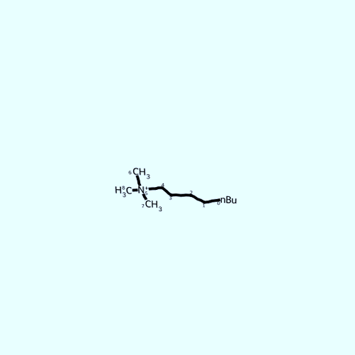 [CH2]CCCCCCC[N+](C)(C)C